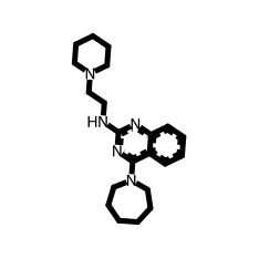 c1ccc2c(N3CCCCCC3)nc(NCCN3CCCCC3)nc2c1